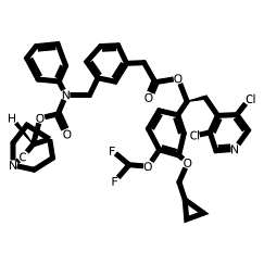 O=C(Cc1cccc(CN(C(=O)O[C@H]2CN3CCC2CC3)c2ccccc2)c1)O[C@@H](Cc1c(Cl)cncc1Cl)c1ccc(OC(F)F)c(OCC2CC2)c1